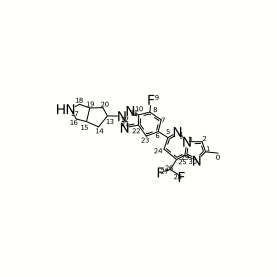 Cc1cn2nc(-c3cc(F)c4nn(C5CC6CNCC6C5)nc4c3)cc(C(F)F)c2n1